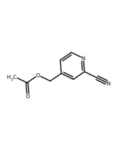 CC(=O)OCc1ccnc(C#N)c1